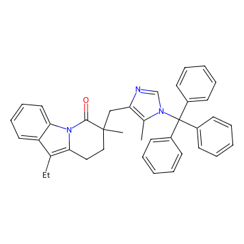 CCc1c2n(c3ccccc13)C(=O)C(C)(Cc1ncn(C(c3ccccc3)(c3ccccc3)c3ccccc3)c1C)CC2